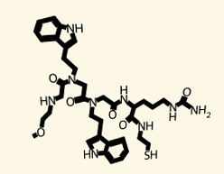 COCCNCC(=O)N(CCc1c[nH]c2ccccc12)CC(=O)N(CCc1c[nH]c2ccccc12)CC(=O)NC(CCCNC(N)=O)C(=O)NCCS